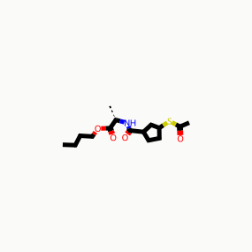 CCCCOC(=O)[C@H](C)NC(=O)C1CCC(SC(C)=O)C1